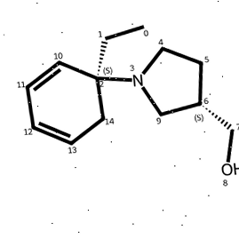 CC[C@@]1(N2CC[C@H](CO)C2)C=CC=CC1